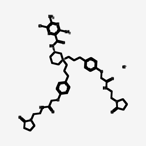 Nc1nc(N)c(C(=O)N[C@H]2CCC[N+](CCCc3ccc(OCC(=O)NCCN4CCCC4=O)cc3)(CCCc3ccc(OCC(=O)NCCN4CCCC4=O)cc3)C2)nc1Cl.[Cl-]